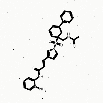 CC(=O)NCC1(S(=O)(=O)n2ccc(C=CC(=O)Nc3ccccc3N)c2)C=CC=C(c2ccccc2)C1